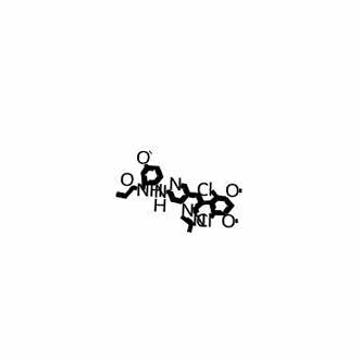 C=CC(=O)Nc1cc(OC)ccc1Nc1cc2c(cn1)cc(-c1c(Cl)c(OC)cc(OC)c1Cl)c1nc(C)cn12